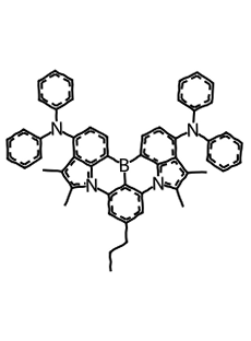 CCCc1cc2c3c(c1)-n1c(C)c(C)c4c(N(c5ccccc5)c5ccccc5)ccc(c41)B3c1ccc(N(c3ccccc3)c3ccccc3)c3c(C)c(C)n-2c13